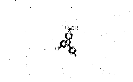 Cc1ccc(CC[N+]2(c3ccc(Cl)cn3)CCN(C(=O)O)CC2)nc1